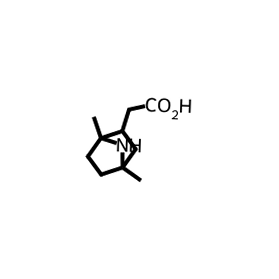 CC12CCC(C)(N1)C(CC(=O)O)C2